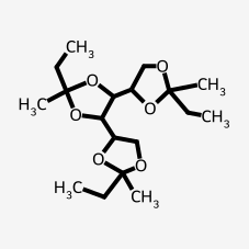 CCC1(C)OCC(C2OC(C)(CC)OC2C2COC(C)(CC)O2)O1